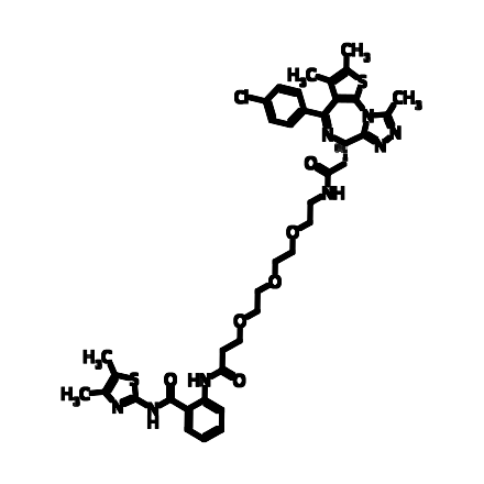 Cc1nc(NC(=O)c2ccccc2NC(=O)CCOCCOCCOCCNC(=O)C[C@@H]2N=C(c3ccc(Cl)cc3)c3c(sc(C)c3C)-n3c(C)nnc32)sc1C